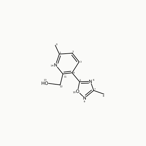 Cc1ccc(-c2nc(C)no2)c(CO)n1